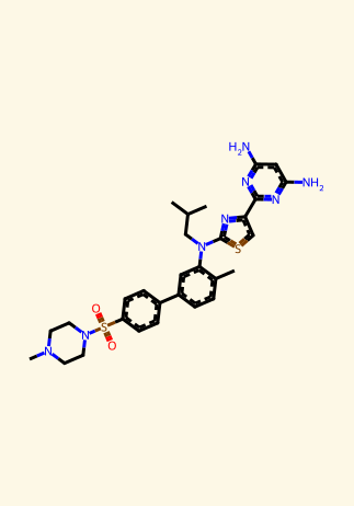 Cc1ccc(-c2ccc(S(=O)(=O)N3CCN(C)CC3)cc2)cc1N(CC(C)C)c1nc(-c2nc(N)cc(N)n2)cs1